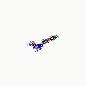 COc1cc(S(C)(=N)=O)ccc1Nc1nc2ccc(-c3ccc(NC(=O)Cc4ccc(F)cc4)cc3)cn2n1